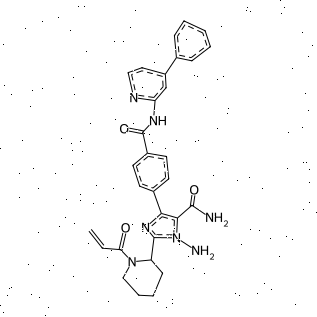 C=CC(=O)N1CCCCC1c1nc(-c2ccc(C(=O)Nc3cc(-c4ccccc4)ccn3)cc2)c(C(N)=O)n1N